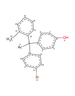 CC(=O)C(c1ccc(O)cc1)(c1ccc(Br)cc1)c1ccccc1C